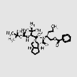 CCC[C@@H](COC(=O)c1ccccc1)NC(=O)[C@@H]1[C@H]2CCC[C@H]2CN1C(=O)[C@@H](NC(=O)OC(C)(C)C)C(C)(C)C